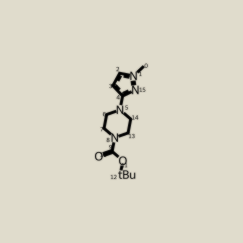 Cn1ccc(N2CCN(C(=O)OC(C)(C)C)CC2)n1